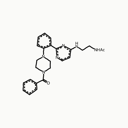 CC(=O)NCCNc1ccnc(-c2ccccc2N2CCN(C(=O)c3ccccc3)CC2)n1